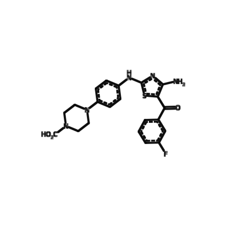 Nc1nc(Nc2ccc(N3CCN(C(=O)O)CC3)cc2)sc1C(=O)c1cccc(F)c1